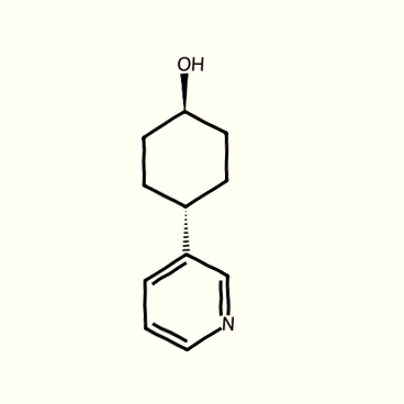 O[C@H]1CC[C@H](c2cccnc2)CC1